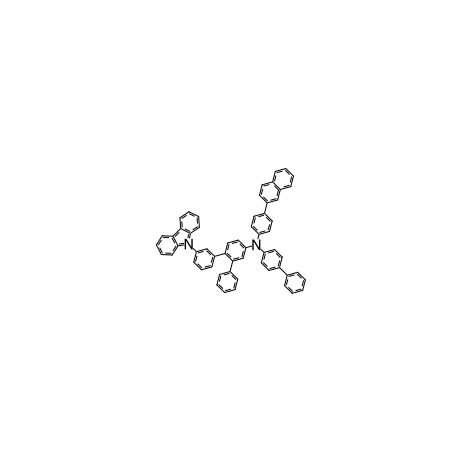 c1ccc(-c2ccc(N(c3ccc(-c4ccc5ccccc5c4)cc3)c3ccc(-c4cccc(-n5c6ccccc6c6ccccc65)c4)c(-c4ccccc4)c3)cc2)cc1